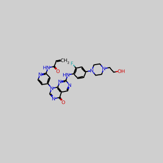 C=CC(=O)Nc1cc(-n2cnc(=O)c3cnc(Nc4ccc(N5CCN(CCO)CC5)cc4F)nc32)ccn1